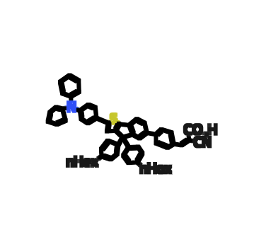 CCCCCCc1ccc(C2(c3ccc(CCCCCC)cc3)c3cc(-c4ccc(/C=C(/C#N)C(=O)O)cc4)ccc3-c3sc(-c4ccc(N(c5ccccc5)c5ccccc5)cc4)cc32)cc1